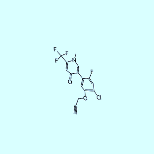 C#CCOc1cc(-c2cn(C)c(C(F)(F)F)cc2=O)c(F)cc1Cl